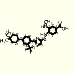 CNc1cc(C(=O)O)ccc1NSc1csc(-c2ccc(C3CCC(C)(C)CC3)cc2C(F)(F)F)n1